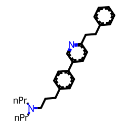 CCCN(CCC)CCCc1ccc(-c2ccc(CCc3ccccc3)nc2)cc1